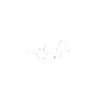 Cc1cc(N)nc(=O)n1[C@H](C)C(F)(C#CCl)C(O)[C@H](C)CO